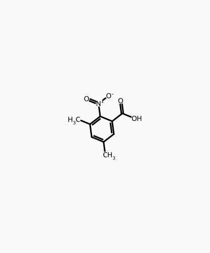 Cc1cc(C)c([N+](=O)[O-])c(C(=O)O)c1